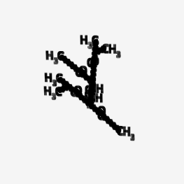 CCCCCCCCCCCOC(=O)CCCCCN(CCCCCCCC(=O)OCCCC(CCCCC)CCCCC)CCNC(=O)CC(=O)NCCN(CCCCCCCC(=O)OCCCC(CCCCC)CCCCC)CCCCCC(=O)OCCCCCCCCCCC